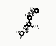 CCc1cc(-c2ccc(NS(=O)(=O)c3ccc#cc3Cl)c(F)c2)nc2cnc(N[C@@H]3CNC[C@@H](F)C3)nc12